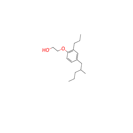 CCCc1cc(CC(C)CCC)ccc1OCCO